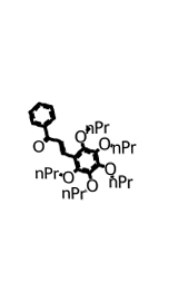 CCCOc1c(C=CC(=O)c2ccccc2)c(OCCC)c(OCCC)c(OCCC)c1OCCC